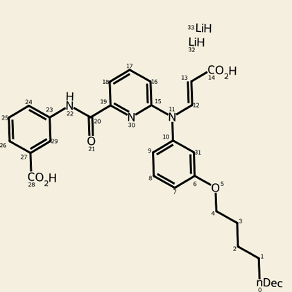 CCCCCCCCCCCCCCOc1cccc(N(/C=C/C(=O)O)c2cccc(C(=O)Nc3cccc(C(=O)O)c3)n2)c1.[LiH].[LiH]